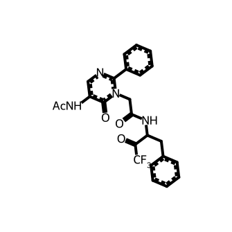 CC(=O)Nc1cnc(-c2ccccc2)n(CC(=O)NC(Cc2ccccc2)C(=O)C(F)(F)F)c1=O